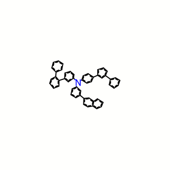 c1ccc(-c2cccc(-c3ccc(N(c4cccc(-c5ccc6ccccc6c5)c4)c4cccc(-c5ccccc5-c5ccccc5)c4)cc3)c2)cc1